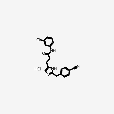 Cl.N#Cc1ccc(Cc2ncc(CCC(=O)Nc3cccc(Cl)c3)[nH]2)cc1